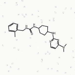 Cc1ccccc1CNC(=O)NC1CCC(Nc2nccc(N(C)C)n2)CC1